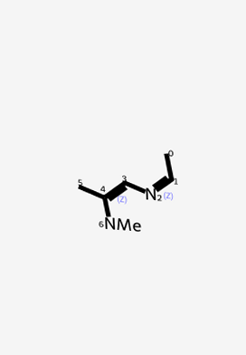 C/C=N\C=C(\C)NC